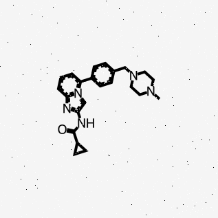 CN1CCN(Cc2ccc(-c3cccc4nc(NC(=O)C5CC5)cn34)cc2)CC1